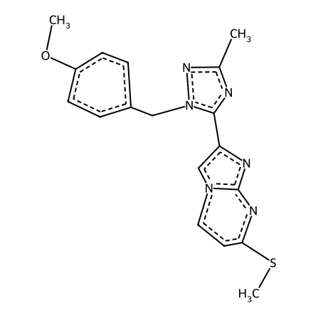 COc1ccc(Cn2nc(C)nc2-c2cn3ccc(SC)nc3n2)cc1